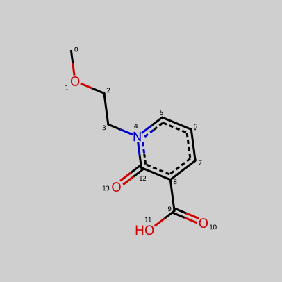 COCCn1c[c]cc(C(=O)O)c1=O